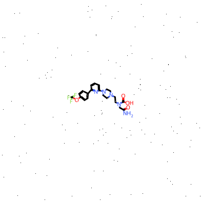 NC(=O)CN(CCN1CCN(c2cccc(-c3ccc(OC(F)(F)F)cc3)n2)CC1)C(=O)O